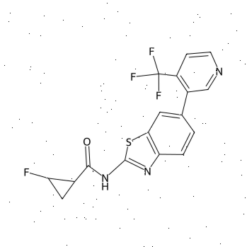 O=C(Nc1nc2ccc(-c3cnccc3C(F)(F)F)cc2s1)C1CC1F